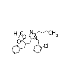 CCCCc1ncc(CC(Cc2ccccc2)C(=O)OC)n1Cc1ccccc1Cl